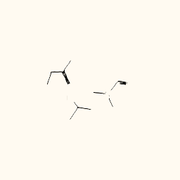 CC(C)O.CCC(C)=O.CN(C)C=O